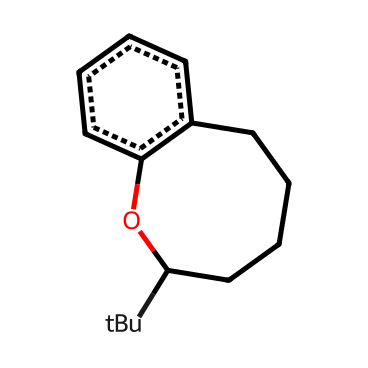 CC(C)(C)C1CCCCc2ccccc2O1